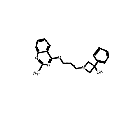 Cc1nc(OCCCN2CC(O)(c3ccccc3)C2)c2ccccc2n1